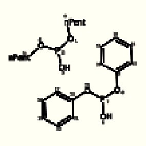 CCCCCOP(O)OCCCCC.OP(Oc1ccccc1)Oc1ccccc1